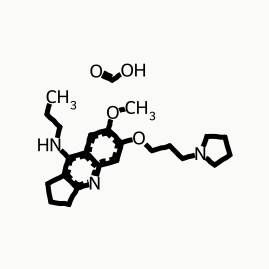 CCCNc1c2c(nc3cc(OCCCN4CCCC4)c(OC)cc13)CCC2.O=CO